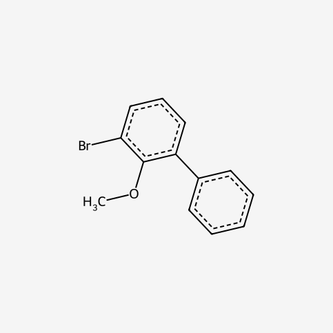 COc1c(Br)cccc1-c1ccccc1